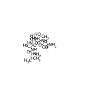 CC(C)C[C@H](N)C(=O)N[C@@H](CS)C(=O)N[C@@H](C)C(=O)N[C@H](C(=O)N[C@@H](CC(N)=O)C(=O)O)[C@@H](C)O